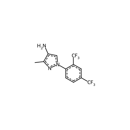 Cc1nn(-c2ccc(C(F)(F)F)cc2C(F)(F)F)cc1N